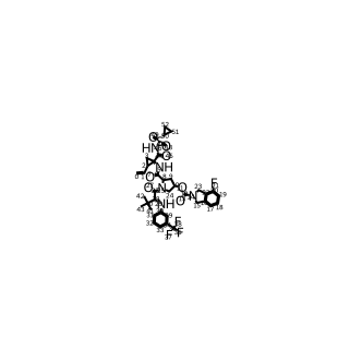 C=CC1CC1(NC(=O)C1CC(OC(=O)N2Cc3cccc(F)c3C2)CN1C(=O)C(Nc1cccc(C(F)(F)F)c1)C(C)(C)C)C(=O)NS(=O)(=O)C1CC1